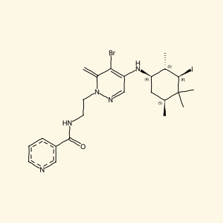 C=C1C(Br)=C(N[C@@H]2C[C@H](C)C(C)(C)[C@H](I)[C@H]2C)C=NN1CCNC(=O)c1cccnc1